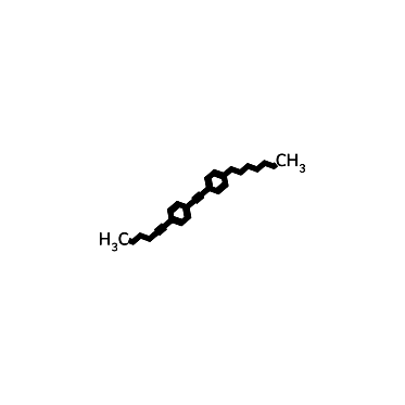 CCCCC#Cc1ccc(C#Cc2ccc(CCCCCCC)cc2)cc1